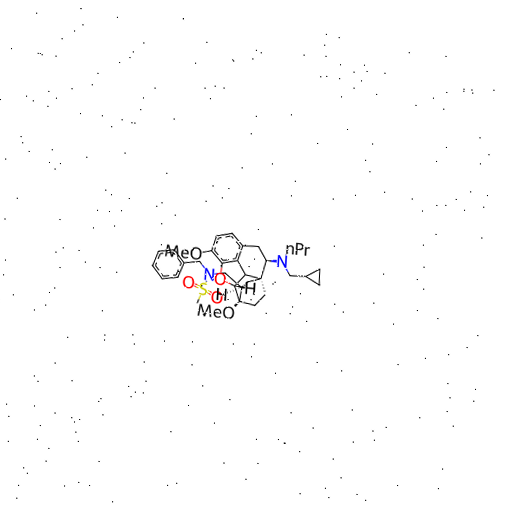 CCCN(CC1CC1)[C@@H]1Cc2ccc(OC)c3c2C2[C@@H](O3)[C@@]3(OC)CC[C@]21C[C@@H]3CN(Cc1ccccc1)S(C)(=O)=O